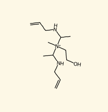 C=CCNC(C)[N+](C)(CCO)C(C)NCC=C